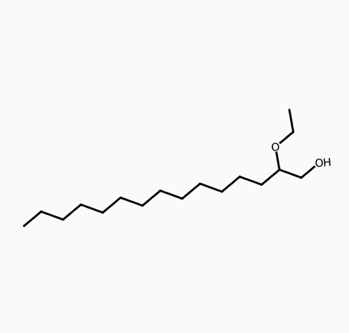 CCCCCCCCCCCCCC(CO)OCC